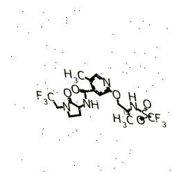 Cc1cnc(OC[C@H](C)NS(=O)(=O)C(F)(F)F)cc1C(=O)NC1CCN(CC(F)(F)F)C1=O